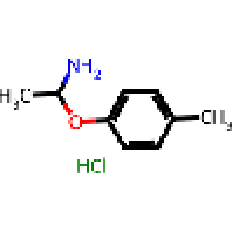 Cc1ccc(OC(C)N)cc1.Cl